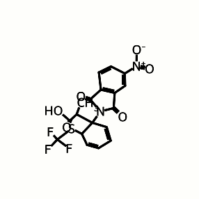 CC(C(=O)O)C1(N2C(=O)c3ccc([N+](=O)[O-])cc3C2=O)C=CC=CC1SC(F)(F)F